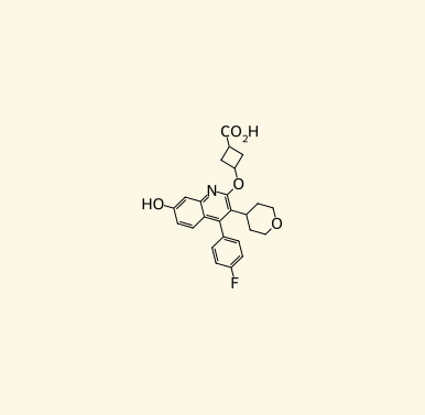 O=C(O)C1CC(Oc2nc3cc(O)ccc3c(-c3ccc(F)cc3)c2C2CCOCC2)C1